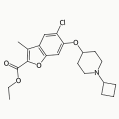 CCOC(=O)c1oc2cc(OC3CCN(C4CCC4)CC3)c(Cl)cc2c1C